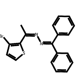 CC(=NN=C(c1ccccc1)c1ccccc1)c1sccc1Br